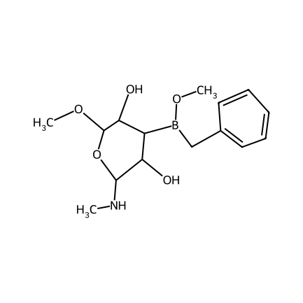 CNC1OC(OC)C(O)C(B(Cc2ccccc2)OC)C1O